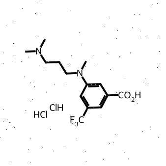 CN(C)CCCN(C)c1cc(C(=O)O)cc(C(F)(F)F)c1.Cl.Cl